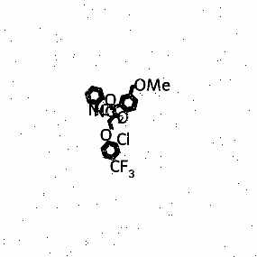 COCc1cccc(C(C#N)(Oc2ccccc2[N+](=O)[O-])C(=O)CCOc2ccc(C(F)(F)F)cc2Cl)c1